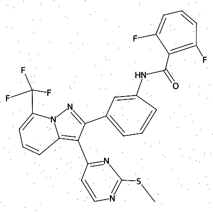 CSc1nccc(-c2c(-c3cccc(NC(=O)c4c(F)cccc4F)c3)nn3c(C(F)(F)F)cccc23)n1